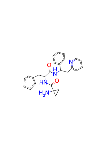 NC1(C(=O)NC(Cc2ccccc2)C(=O)NC(Cc2ccccn2)c2ccccc2)CC1